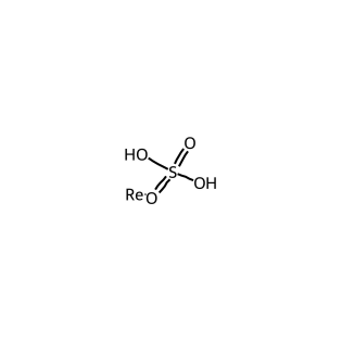 O=S(=O)(O)O.[Re]